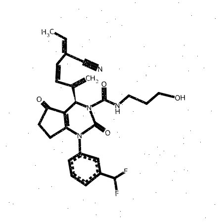 C=C(/C=C\C(C#N)=C/C)[C@@H]1C2=C(CCC2=O)N(c2cccc(C(F)F)c2)C(=O)N1C(=O)NCCCO